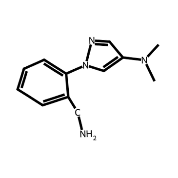 CN(C)c1cnn(-c2ccccc2CN)c1